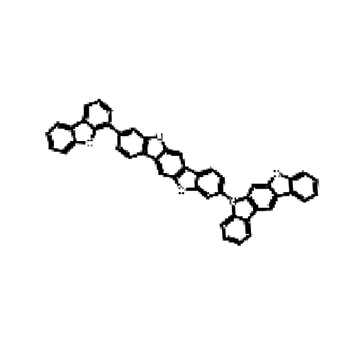 c1ccc2c(c1)oc1cc3c(cc12)c1ccccc1n3-c1ccc2c(c1)oc1cc3c(cc12)oc1cc(-c2cccc4c2oc2ccccc24)ccc13